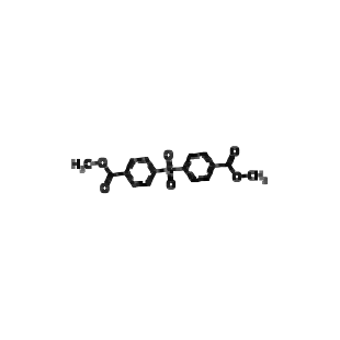 COC(=O)c1ccc(S(=O)(=O)c2ccc(C(=O)OC)cc2)cc1